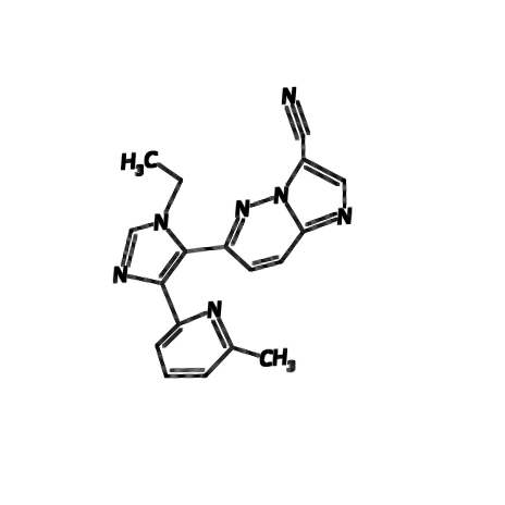 CCn1cnc(-c2cccc(C)n2)c1-c1ccc2ncc(C#N)n2n1